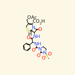 CC(=O)OCC1=C(C(=O)O)N2C(=O)C(NC(=O)C(NC(=O)N3CCN(S(C)(=O)=O)C3=O)c3ccccc3)[C@@H]2SC1